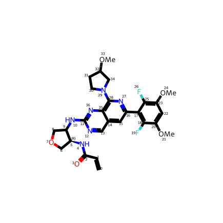 C=CC(=O)N[C@H]1COCC1Nc1ncc2cc(-c3c(F)c(OC)cc(OC)c3F)nc(N3CCC(OC)C3)c2n1